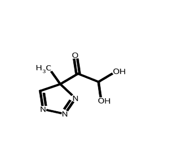 CC1(C(=O)C(O)O)C=NN=N1